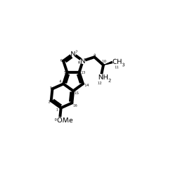 COC1=CCC2=c3cnn(C[C@@H](C)N)c3=CC2=C1